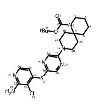 CC(C)(C)OC(=O)N1CCCCC12CCN(c1cnc(Sc3ccnc(N)c3Cl)cn1)CC2